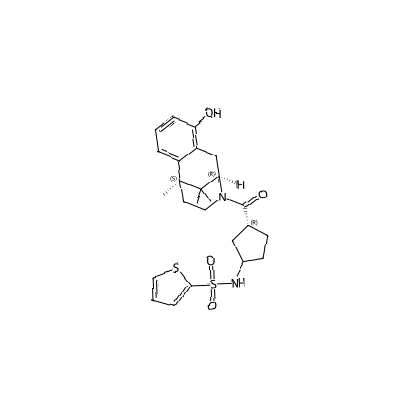 CC1(C)[C@H]2Cc3c(O)cccc3[C@]1(C)CCN2C(=O)[C@@H]1CCC(NS(=O)(=O)c2cccs2)C1